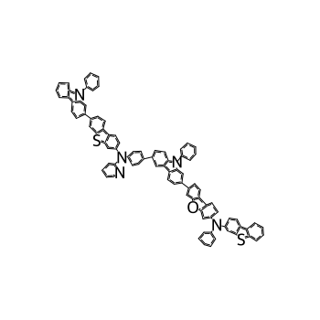 c1ccc(N(c2ccc3c(c2)oc2cc(-c4ccc5c6cc(-c7ccc(N(c8ccc9c(c8)sc8cc(-c%10ccc%11c%12ccccc%12n(-c%12ccccc%12)c%11c%10)ccc89)c8ccccn8)cc7)ccc6n(-c6ccccc6)c5c4)ccc23)c2ccc3c(c2)sc2ccccc23)cc1